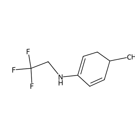 CC1C=CC(NCC(F)(F)F)=CC1